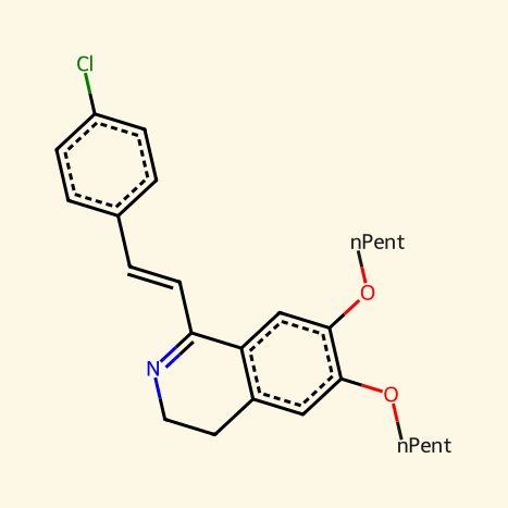 CCCCCOc1cc2c(cc1OCCCCC)C(C=Cc1ccc(Cl)cc1)=NCC2